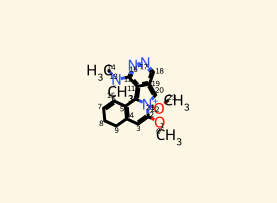 COC1=CC2=C(C=CCC2)C2=c3c(N(C)C)nncc3=C[N+]12OC